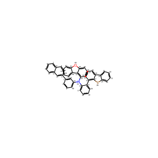 c1cc(-c2ccc3ccccc3c2)cc(N(c2ccccc2-c2cccc3c2sc2ccccc23)c2cccc3oc4ccccc4c23)c1